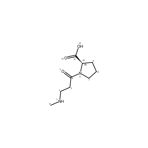 CNCCC(=O)N1CCC[C@@H]1C(=O)O